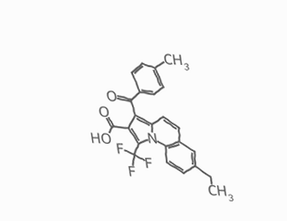 CCc1ccc2c(ccc3c(C(=O)c4ccc(C)cc4)c(C(=O)O)c(C(F)(F)F)n32)c1